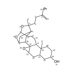 C=C(CCC1(C)OC2OC3CC1C21CCC2C4(C)CCC(O)CC4CC4OC42C31)C(C)C